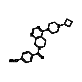 COc1ccc(C(=O)N2CCc3c(ncnc3N3CCN(C4CCC4)CC3)C2)cc1